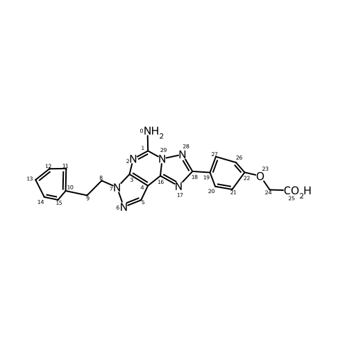 Nc1nc2c(cnn2CCc2ccccc2)c2nc(-c3ccc(OCC(=O)O)cc3)nn12